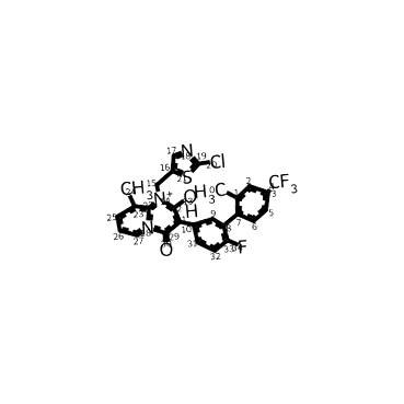 Cc1cc(C(F)(F)F)ccc1-c1cc(-c2c(O)[n+](Cc3cnc(Cl)s3)c3c(C)cccn3c2=O)ccc1F